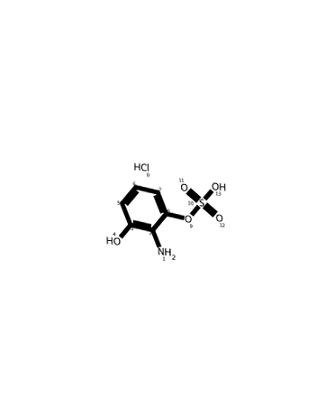 Cl.Nc1c(O)cccc1OS(=O)(=O)O